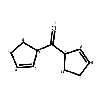 O=C(C1C=CCC1)C1C=CCC1